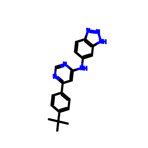 CC(C)(C)c1ccc(-c2cc(Nc3ccc4nn[nH]c4c3)ncn2)cc1